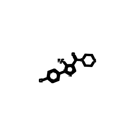 O=C(c1cnn(-c2ccc(Cl)cc2)c1C(F)(F)F)N1CCSCC1